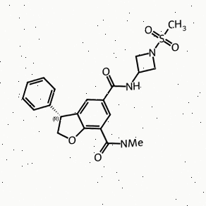 CNC(=O)c1cc(C(=O)NC2CN(S(C)(=O)=O)C2)cc2c1OC[C@@H]2c1ccccc1